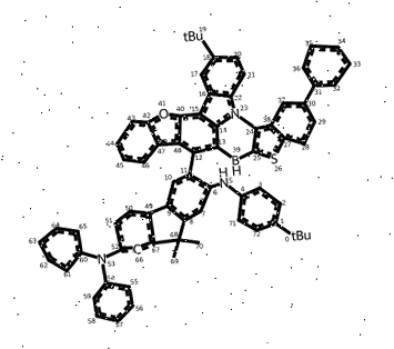 CC(C)(C)c1ccc(Nc2cc3c(cc2-c2c4c5c(c6cc(C(C)(C)C)ccc6n5-c5c(sc6ccc(-c7ccccc7)cc56)B4)c4oc5ccccc5c24)-c2ccc(N(c4ccccc4)c4ccccc4)cc2C3(C)C)cc1